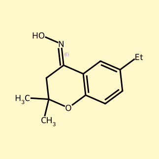 CCc1ccc2c(c1)/C(=N/O)CC(C)(C)O2